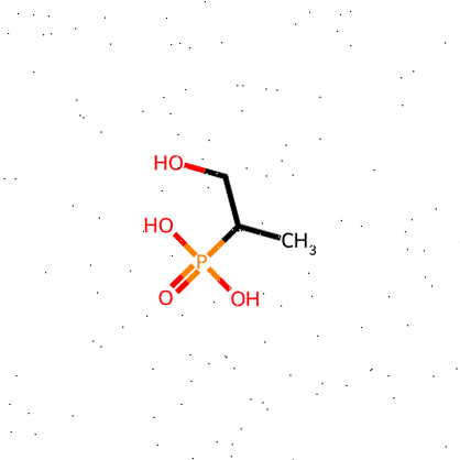 C[C](CO)P(=O)(O)O